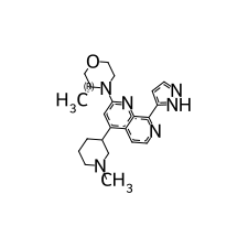 C[C@@H]1COCCN1c1cc(C2CCCN(C)C2)c2ccnc(-c3ccn[nH]3)c2n1